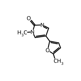 Cc1ccc(-c2cnc(=O)n(C)c2)o1